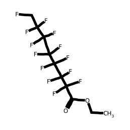 CCOC(=O)C(F)(F)C(F)(F)C(F)(F)C(F)(F)C(F)(F)C(F)(F)CF